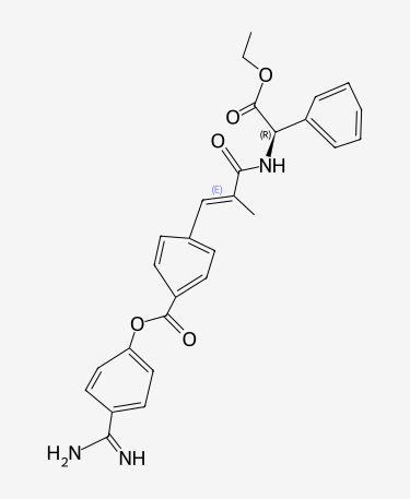 CCOC(=O)[C@H](NC(=O)/C(C)=C/c1ccc(C(=O)Oc2ccc(C(=N)N)cc2)cc1)c1ccccc1